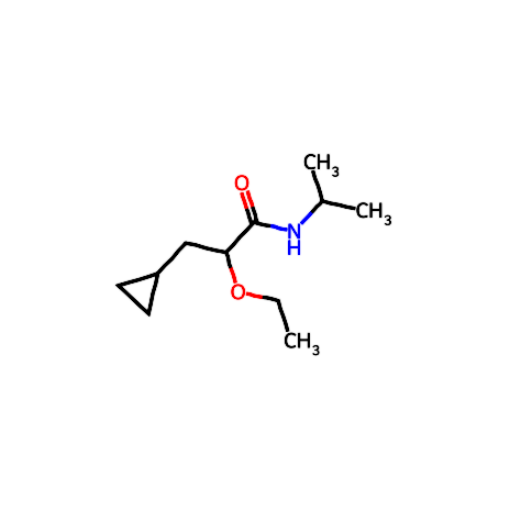 CCOC(CC1CC1)C(=O)NC(C)C